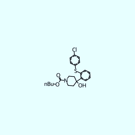 CCCCOC(=O)N1CCC(O)(c2ccccc2Sc2ccc(Cl)cc2)CC1